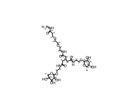 C[C@@H]1O[C@@H](OCCNC(=O)CN(CC(=O)NCCOCCOCCC(=O)NP)CC(=O)NCCO[C@@H]2O[C@@H](C)[C@@H](O)C[C@@H]2O)[C@@H](O)[C@H](O)[C@@H]1O